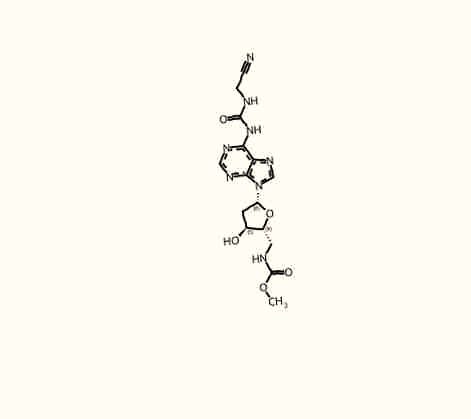 COC(=O)NC[C@H]1O[C@@H](n2cnc3c(NC(=O)NCC#N)ncnc32)C[C@@H]1O